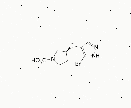 O=C(O)N1CC[C@H](Oc2cn[nH]c2Br)C1